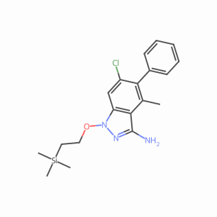 Cc1c(-c2ccccc2)c(Cl)cc2c1c(N)nn2OCC[Si](C)(C)C